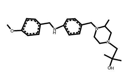 COc1ccc(CNc2ccc(CN3CCN(CC(C)(C)O)CC3C)cc2)cc1